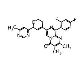 Cc1cc(C2C=C(c3cn4c(=O)c(C)c(C)nc4c(-c4ccc(F)cc4F)n3)CCO2)ncn1